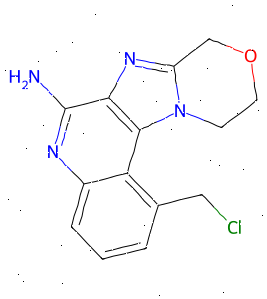 Nc1nc2cccc(CCl)c2c2c1nc1n2CCOC1